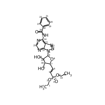 CCOP(=O)(C=CC1OC(n2nnc3c(NC(=O)c4ccccc4)ncnc32)C(O)C1O)OCC